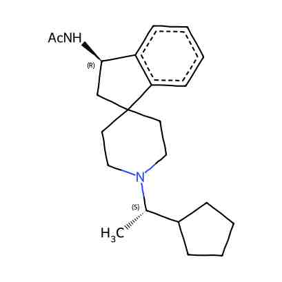 CC(=O)N[C@@H]1CC2(CCN([C@@H](C)C3CCCC3)CC2)c2ccccc21